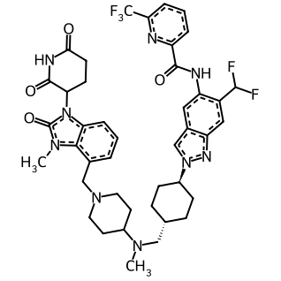 CN(C[C@H]1CC[C@H](n2cc3cc(NC(=O)c4cccc(C(F)(F)F)n4)c(C(F)F)cc3n2)CC1)C1CCN(Cc2cccc3c2n(C)c(=O)n3C2CCC(=O)NC2=O)CC1